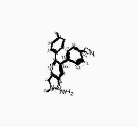 Cc1ccc(-c2nc3c(cc2-c2ccc(C#N)cc2)N(N)N(C)C3)cc1